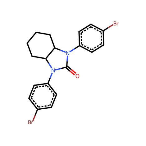 O=C1N(c2ccc(Br)cc2)C2CCCCC2N1c1ccc(Br)cc1